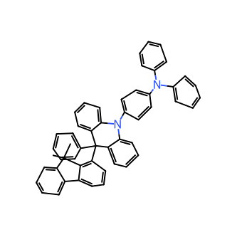 CC1(C)c2ccccc2-c2cccc(C3(c4ccccc4)c4ccccc4N(c4ccc(N(c5ccccc5)c5ccccc5)cc4)c4ccccc43)c21